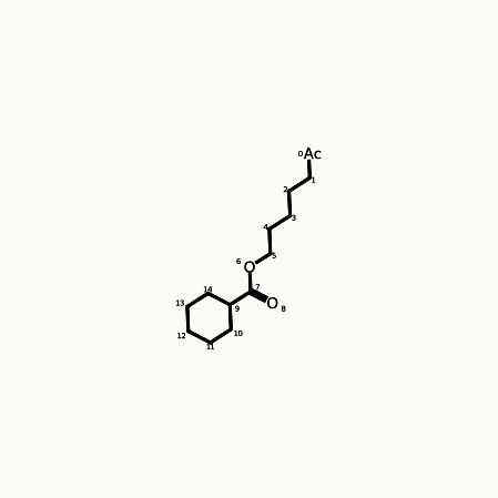 CC(=O)CCCCCOC(=O)C1CCCCC1